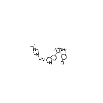 CC(C)N1CCN(CCNc2cnc3ccc(-c4nc[nH]c4-c4cc(Cl)ccc4F)cc3c2)CC1